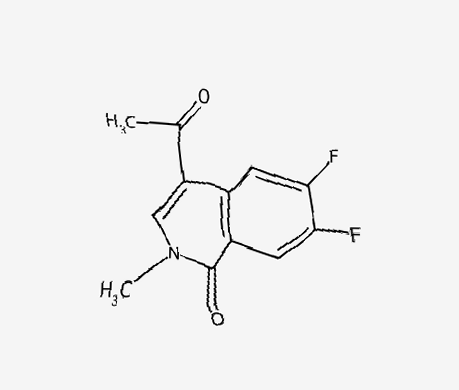 CC(=O)c1cn(C)c(=O)c2cc(F)c(F)cc12